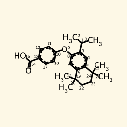 CC(C)c1cc2c(cc1Oc1ccc(C(=O)O)cc1)C(C)(C)CCC2(C)C